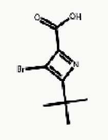 CC(C)(C)C1=C(Br)C(C(=O)O)=N1